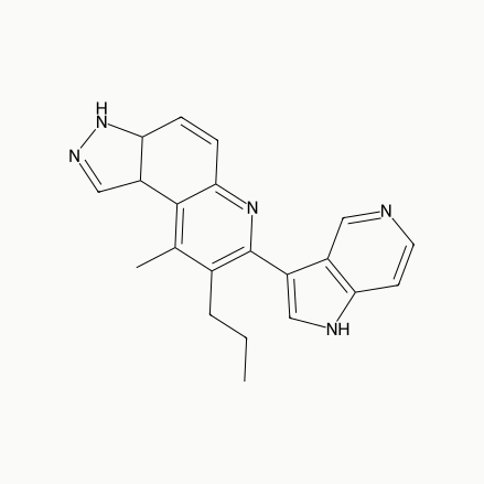 CCCc1c(-c2c[nH]c3ccncc23)nc2c(c1C)C1C=NNC1C=C2